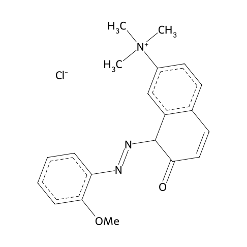 COc1ccccc1N=NC1C(=O)C=Cc2ccc([N+](C)(C)C)cc21.[Cl-]